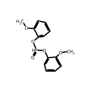 COc1ccccc1O[PH](=O)Oc1ccccc1OC